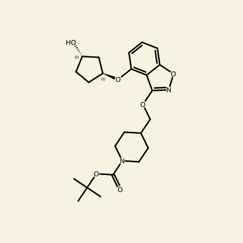 CC(C)(C)OC(=O)N1CCC(COc2noc3cccc(O[C@H]4CC[C@H](O)C4)c23)CC1